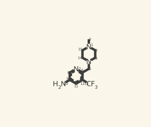 CN1CCN(Cc2ncc(N)cc2C(F)(F)F)CC1